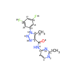 Cc1nccc(NC(=O)c2nnn(-c3cc(F)cc(F)c3)c2C)n1